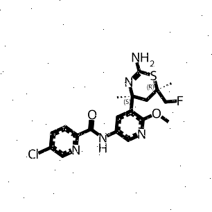 COc1ncc(NC(=O)c2ccc(Cl)cn2)cc1[C@]1(C)C[C@](C)(CF)SC(N)=N1